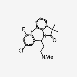 CNCCC(c1cc(F)cc(Cl)c1)N1C(=O)C(C)(C)c2cccc(F)c21